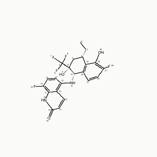 CC[C@H]1C[C@](O)(C(F)(F)F)[C@@H](Nc2ccc(F)c3[nH]c(=O)ccc23)c2ccc(F)c(O)c21